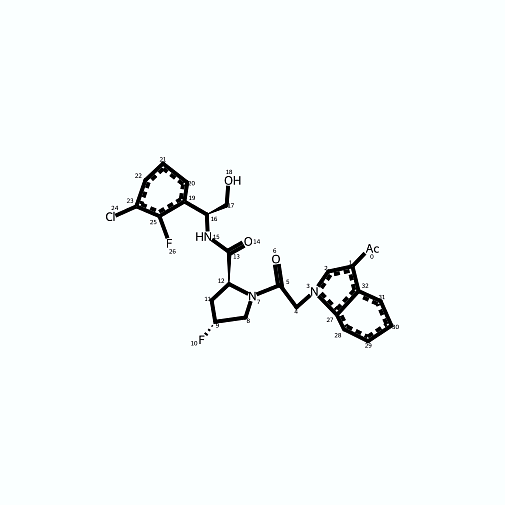 CC(=O)c1cn(CC(=O)N2C[C@H](F)C[C@H]2C(=O)N[C@H](CO)c2cccc(Cl)c2F)c2ccccc12